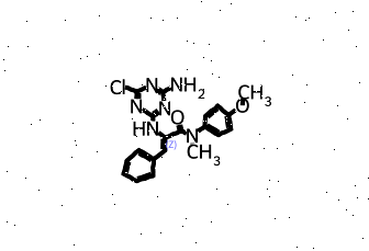 COc1ccc(N(C)C(=O)/C(=C/c2ccccc2)Nc2nc(N)nc(Cl)n2)cc1